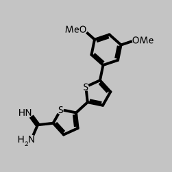 COc1cc(OC)cc(-c2ccc(-c3ccc(C(=N)N)s3)s2)c1